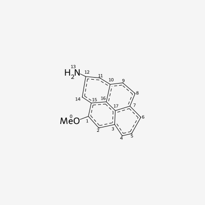 COc1cc2cccc3ccc4cc(N)cc1c4c32